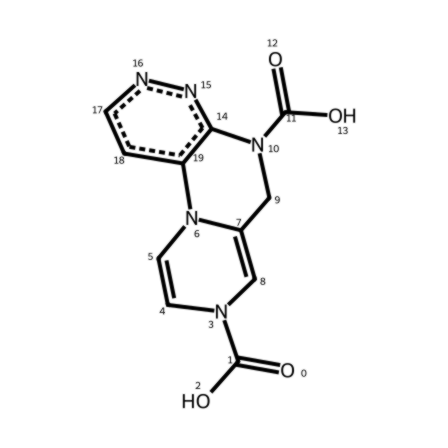 O=C(O)N1C=CN2C(=C1)CN(C(=O)O)c1nnccc12